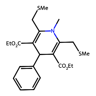 CCOC(=O)C1=C(CSC)N(C)C(CSC)=C(C(=O)OCC)C1c1ccccc1